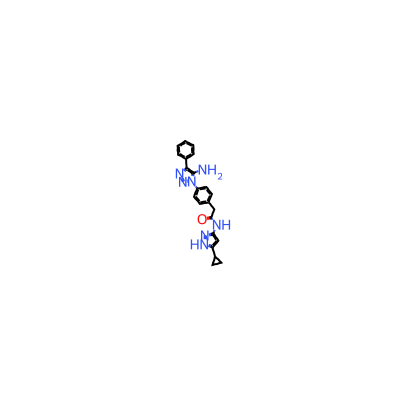 Nc1c(-c2ccccc2)nnn1-c1ccc(CC(=O)Nc2cc(C3CC3)[nH]n2)cc1